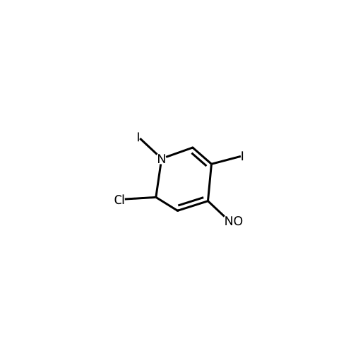 O=NC1=CC(Cl)N(I)C=C1I